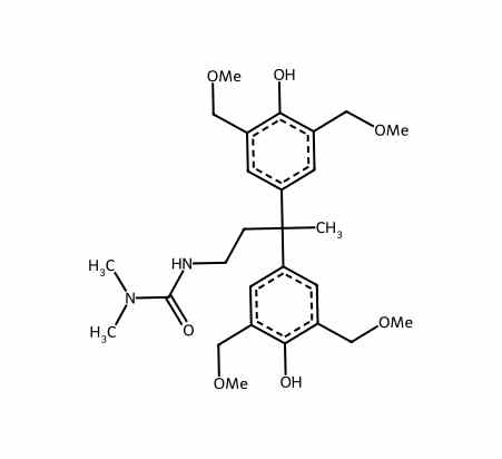 COCc1cc(C(C)(CCNC(=O)N(C)C)c2cc(COC)c(O)c(COC)c2)cc(COC)c1O